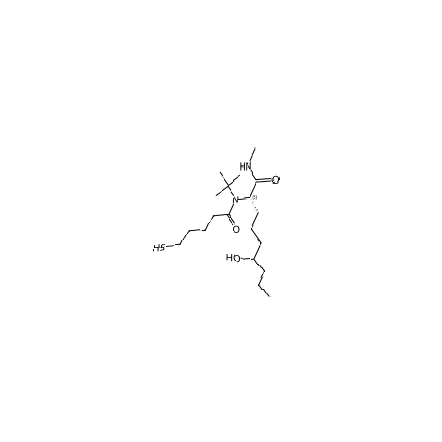 CCCC(O)CCC[C@@H](C(=O)NC)N(C(=O)CCCCS)C(C)(C)C